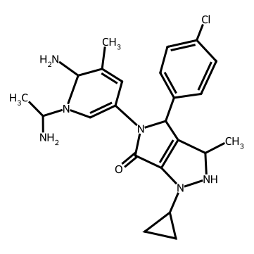 CC1=CC(N2C(=O)C3=C(C(C)NN3C3CC3)C2c2ccc(Cl)cc2)=CN(C(C)N)C1N